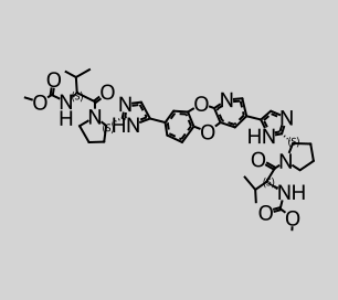 COC(=O)N[C@H](C(=O)N1CCC[C@H]1c1ncc(-c2ccc3c(c2)Oc2ncc(-c4cnc([C@@H]5CCCN5C(=O)[C@@H](NC(=O)OC)C(C)C)[nH]4)cc2O3)[nH]1)C(C)C